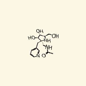 CC(=O)NC[C@@]1(Cc2cccnc2)N[C@H](CO)[C@@H](O)[C@@H]1O